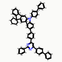 c1ccc(-c2ccc(-c3cc(-c4ccc(-c5ccc6c(c5)c5cc7c(cc5n6-c5ccc(-c6ccccc6)cc5)-c5ccccc5C75CCCCC5)cc4)nc(-c4ccccc4)n3)cc2)cc1